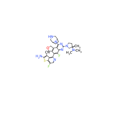 CN(C)[C@@]1(C)CCN(c2nc(N3C4CCC3CNC4)c3c4c(c(-c5ncc(F)c6sc(N)c(C#N)c56)c(F)c3n2)COC4)C1